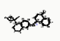 CC1(N2CCCc3cc(/N=C4\C=CC(=O)c5ncccc54)ccc32)C2CC21